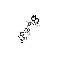 O=C1CSc2ccc(N3C[C@H](CCN[C@@H]4Cn5c(=O)ccc6nccc4c65)OC3=O)cc2N1